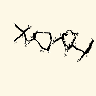 CC(C)c1noc(N2CCC(OC(C)(C)C)CC2)n1